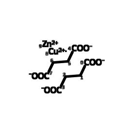 O=C([O-])CCC(=O)[O-].O=C([O-])CCC(=O)[O-].[Cu+2].[Zn+2]